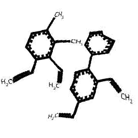 C=Cc1ccc(-c2ccccc2)c(C=C)c1.C=Cc1ccc(C)c(C)c1C=C